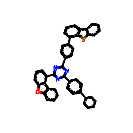 c1ccc(-c2ccc(-c3nc(-c4ccc(-c5cccc6c5sc5ccccc56)cc4)nc(-c4cccc5oc6ccccc6c45)n3)cc2)cc1